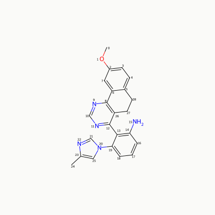 COc1ccc2c(c1)-c1ncnc(-c3c(N)cccc3-n3cnc(C)c3)c1CC2